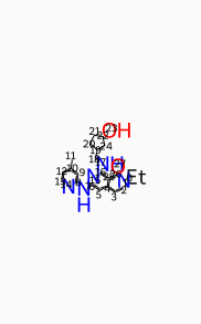 CCn1ccc2cc(Nc3cc(C)ccn3)nc(NC[C@H]3CC[C@H](O)C3)c2c1=O